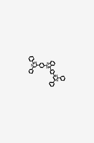 c1ccc(-c2cc(-c3ccc(-c4nc(-c5ccc(-c6cc(-c7ccccc7)nc(-c7ccccc7)n6)cc5)c5ccccc5n4)cc3)nc(-c3ccccc3)n2)cc1